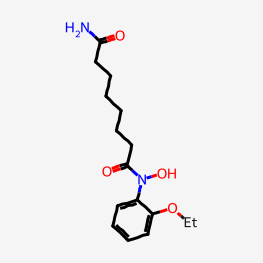 CCOc1ccccc1N(O)C(=O)CCCCCCC(N)=O